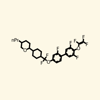 CCCC1CCC(C2CCC(C(F)(F)Oc3ccc(-c4cc(F)c(OC(F)=C(F)F)c(F)c4)c(F)c3)CC2)OC1